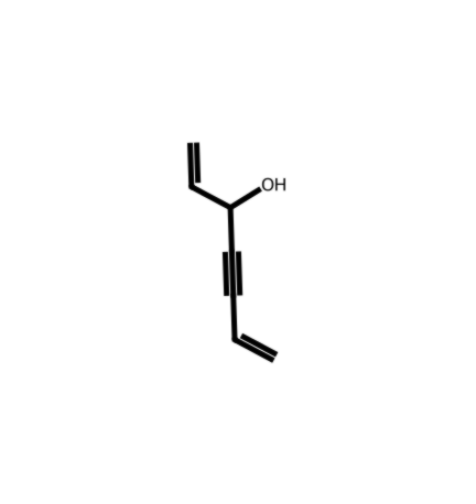 C=CC#CC(O)C=C